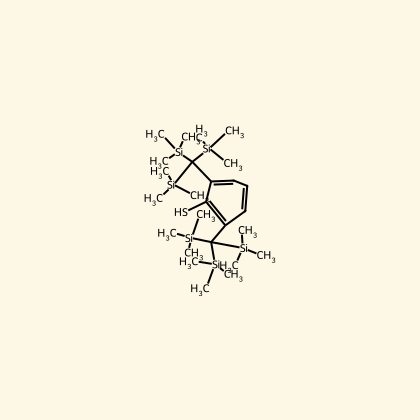 C[Si](C)(C)C(c1cccc(C([Si](C)(C)C)([Si](C)(C)C)[Si](C)(C)C)c1S)([Si](C)(C)C)[Si](C)(C)C